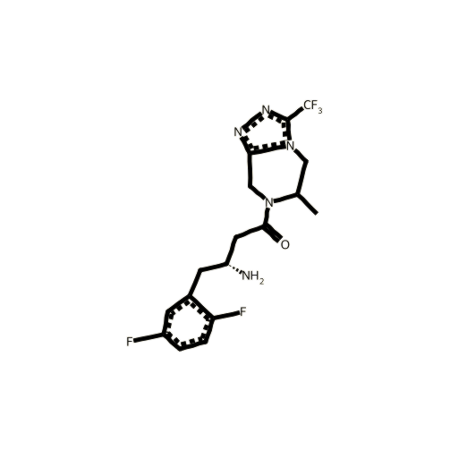 CC1Cn2c(nnc2C(F)(F)F)CN1C(=O)C[C@H](N)Cc1cc(F)ccc1F